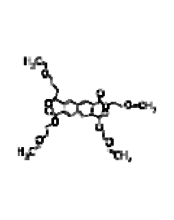 C=COCCCC(=O)c1cc2cc(C(=O)OCCOC=C)c(C(=O)OCCOC=C)cc2cc1C(=O)OCCOC=C